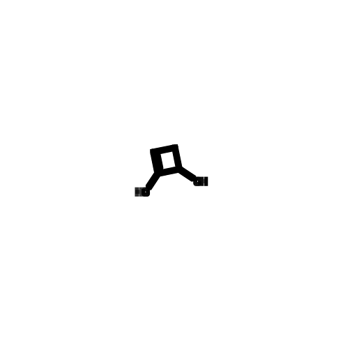 OC1=CCC1O